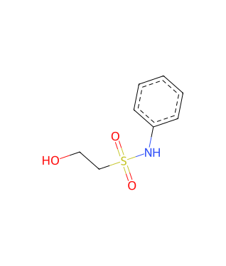 O=S(=O)(CCO)Nc1ccccc1